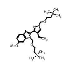 C=Cc1cn(COCC[Si](C)(C)C)nc1-c1nc2ccc(OC)cc2n1COCC[Si](C)(C)C